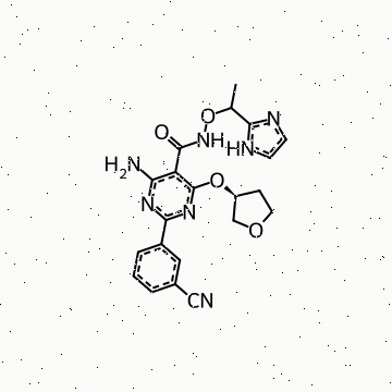 CC(ONC(=O)c1c(N)nc(-c2cccc(C#N)c2)nc1O[C@H]1CCOC1)c1ncc[nH]1